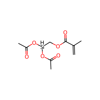 C=C(C)C(=O)OC[SiH](OC(C)=O)OC(C)=O